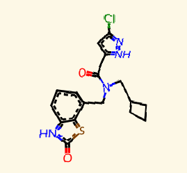 O=C(c1cc(Cl)n[nH]1)N(Cc1cccc2[nH]c(=O)sc12)CC1CCC1